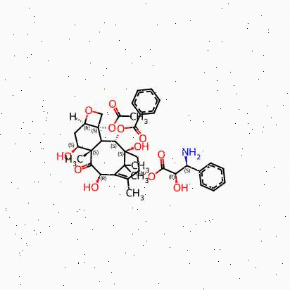 CC(=O)O[C@@]12CO[C@@H]1C[C@H](O)[C@@]1(C)C(=O)[C@H](O)C3=C(C)[C@@H](OC(=O)[C@H](O)[C@@H](N)c4ccccc4)C[C@@](O)([C@@H](OC(=O)c4ccccc4)C12)C3(C)C